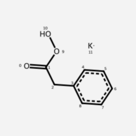 O=C(Cc1ccccc1)OO.[K]